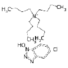 CCCC[N+](CCCC)(CCCC)CCCC.On1nnc2ccccc21.[Cl-]